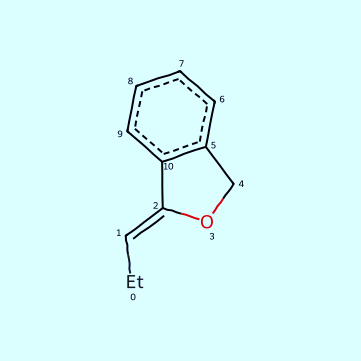 CCC=C1OCc2ccccc21